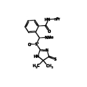 CCCNC(=O)c1ccccc1C(NC)[S+]([O-])C1=NC(=S)C(C)(C)N1